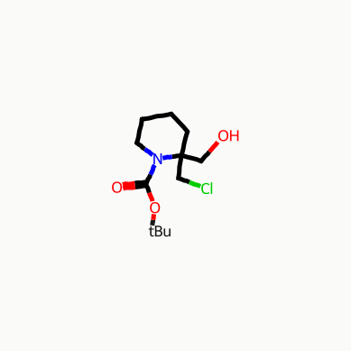 CC(C)(C)OC(=O)N1CCCCC1(CO)CCl